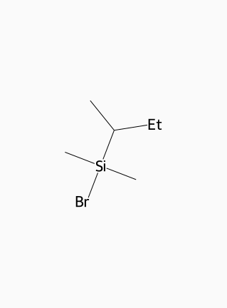 CCC(C)[Si](C)(C)Br